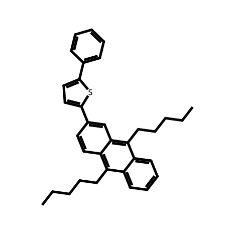 CCCCCc1c2ccccc2c(CCCCC)c2cc(-c3ccc(-c4ccccc4)s3)ccc12